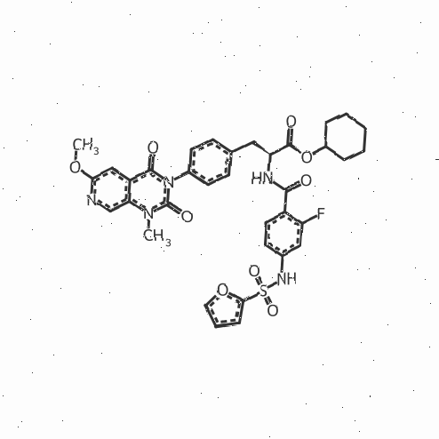 COc1cc2c(=O)n(-c3ccc(C[C@H](NC(=O)c4ccc(NS(=O)(=O)c5ccco5)cc4F)C(=O)OC4CCCCC4)cc3)c(=O)n(C)c2cn1